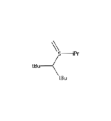 C=S(C(C)C)C(C(C)(C)C)C(C)(C)C